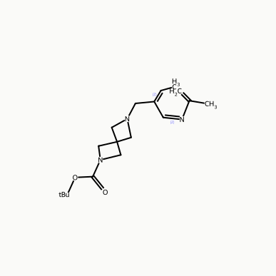 C=C(C)/N=C\C(=C/C)CN1CC2(C1)CN(C(=O)OC(C)(C)C)C2